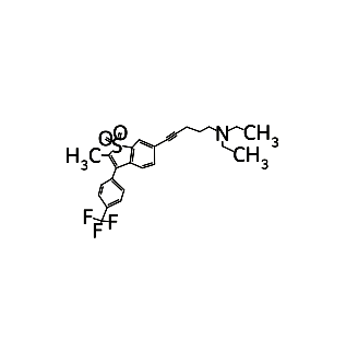 CCN(CC)CCCC#Cc1ccc2c(c1)S(=O)(=O)C(C)=C2c1ccc(C(F)(F)F)cc1